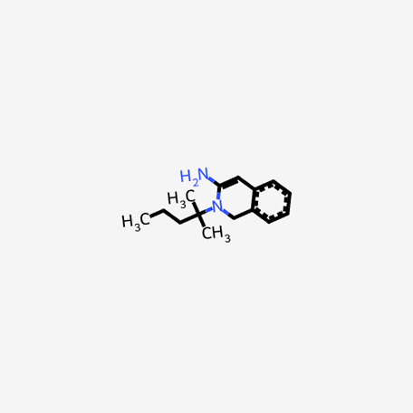 CCCC(C)(C)N1Cc2ccccc2C=C1N